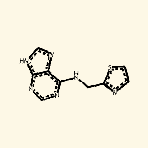 c1csc(CNc2ncnc3[nH]cnc23)n1